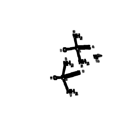 NP(N)([O-])=S.NP(N)([O-])=S.[S+2]